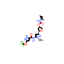 Cn1nc(OC(F)(F)Cl)cc1C(=O)Nc1cc([C@H]2C[C@@H](OC(=O)NC3(C)CC3)CO2)nn1C(C)(C)C